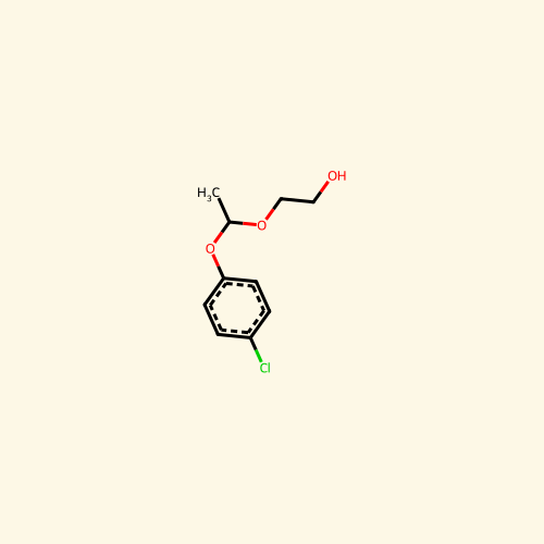 CC(OCCO)Oc1ccc(Cl)cc1